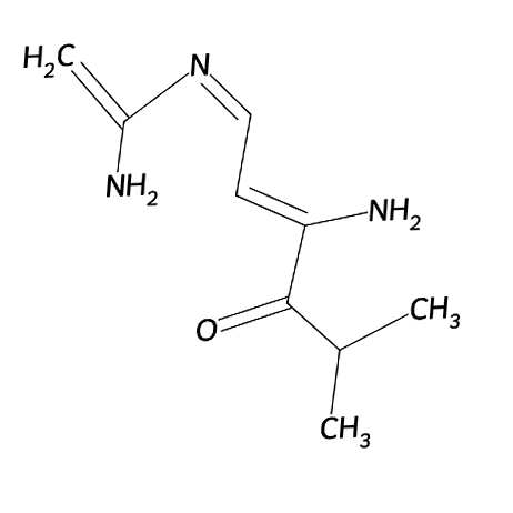 C=C(N)/N=C\C=C(/N)C(=O)C(C)C